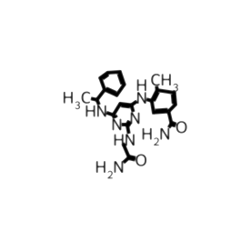 Cc1ccc(C(N)=O)cc1Nc1cc(NC(C)c2ccccc2)nc(NCC(N)=O)n1